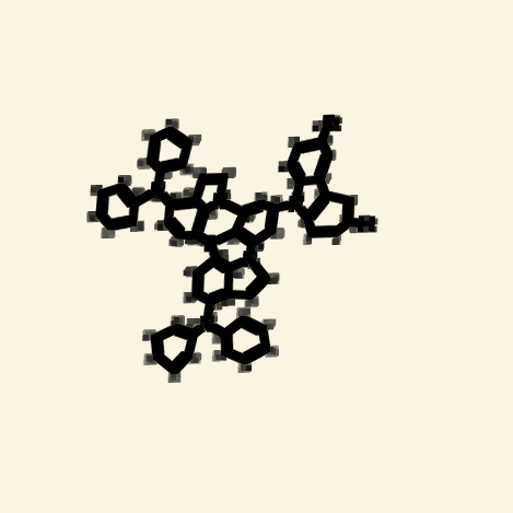 CCc1ccc2c(c1)c1cc(CC)ccc1n2-c1cc2c3c(c1)-n1ccc4c(N(c5ccccc5)c5ccccc5)ccc(c41)B3c1ccc(N(c3ccccc3)c3ccccc3)c3ccn-2c13